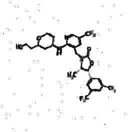 C[C@H]1[C@@H](c2cc(C(F)(F)F)cc(C(F)(F)F)c2)OC(=O)N1Cc1cc(C(F)(F)F)cnc1NC1CCOC(CCO)C1